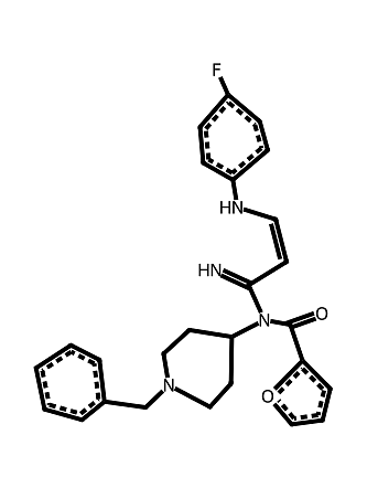 N=C(/C=C\Nc1ccc(F)cc1)N(C(=O)c1ccco1)C1CCN(Cc2ccccc2)CC1